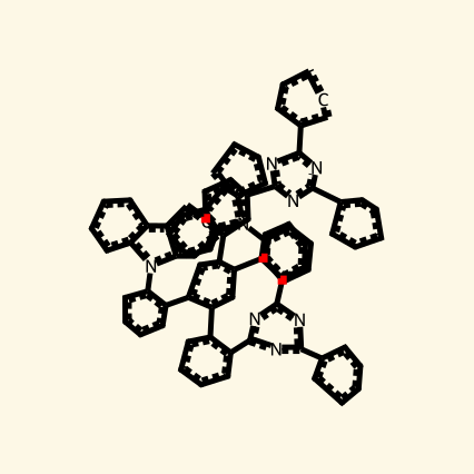 c1ccc(-c2nc(-c3ccccc3)nc(-c3cccc(-c4cc(-c5ccccc5-n5c6ccccc6c6ccccc65)c(-c5ccccc5-c5nc(-c6ccccc6)nc(-c6ccccc6)n5)cc4-c4ccccc4-n4c5ccccc5c5ccccc54)c3)n2)cc1